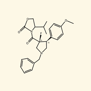 COc1ccc([C@H]2CN(Cc3ccccc3)C[C@]2(F)C(=O)N2C(=O)OCC2C(C)C)cc1